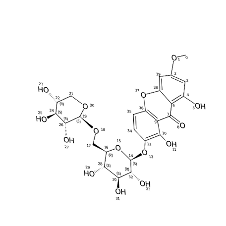 COc1cc(O)c2c(=O)c3c(O)c(O[C@@H]4O[C@H](CO[C@@H]5OC[C@@H](O)[C@H](O)[C@H]5O)[C@@H](O)[C@H](O)[C@H]4O)ccc3oc2c1